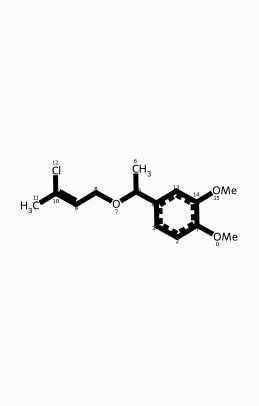 COc1ccc(C(C)OCC=C(C)Cl)cc1OC